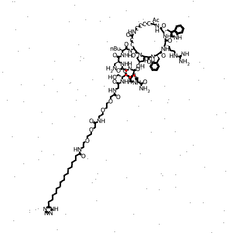 CCCC[C@H](NC(=O)[C@H](CN)NC(=O)[C@H](Cc1c[nH]cn1)NC(=O)[C@H](CCC(N)=O)NC(=O)[C@H](CO)NC(=O)CNC(=O)COCCOCCNC(=O)COCCOCCNC(=O)CCCCCCCCCCCCCCCc1nnn[nH]1)C(=O)N[C@H]1CCC(=O)NCCCC[C@@H](C(C)=O)NC(=O)[C@H](Cc2c[nH]c3ccccc23)NC(=O)[C@H](CCCNC(=N)N)NC(=O)[C@@H](Cc2ccccc2)NC(=O)[C@@H]2C[C@@H](O)CN2C1=O